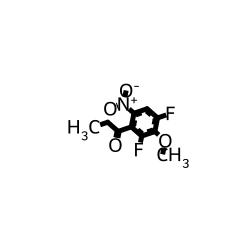 CCC(=O)c1c([N+](=O)[O-])cc(F)c(OC)c1F